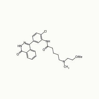 COCCN(C)CCCCC(=O)Nc1cc(-c2n[nH]c(=O)c3ccccc23)ccc1Cl